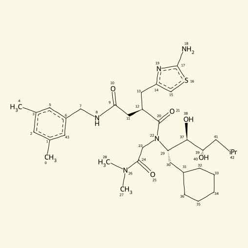 Cc1cc(C)cc(CNC(=O)C[C@@H](Cc2csc(N)n2)C(=O)N(CC(=O)N(C)C)[C@@H](CC2CCCCC2)[C@@H](O)[C@@H](O)CC(C)C)c1